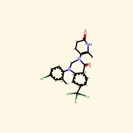 CC1=C(N2CN(c3ccc(F)cc3C)c3cc(C(F)(F)F)ccc3C2=O)CCC(=O)N1